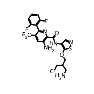 NCC(CCl)COc1sncc1NC(=O)c1nc(-c2c(F)cccc2F)c(C(F)(F)F)cc1N